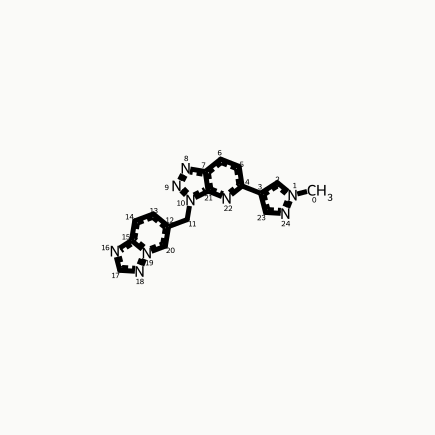 Cn1cc(-c2ccc3nnn(Cc4ccc5ncnn5c4)c3n2)cn1